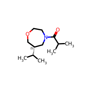 CC(C)C(=O)N1CCOC[C@@H](C(C)C)C1